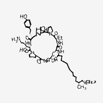 CC[C@H](C)C[C@H](C)CCCCCCCCC(=O)N[C@H]1C[C@@H](O)CNC(=O)C2CCCN2C(=O)[C@H]([C@H](O)CCN)NC(=O)[C@H](CCc2ccc(O)cc2)NC(=O)[C@@H]2CCCN2C(=O)[C@H](CC)NC1=O